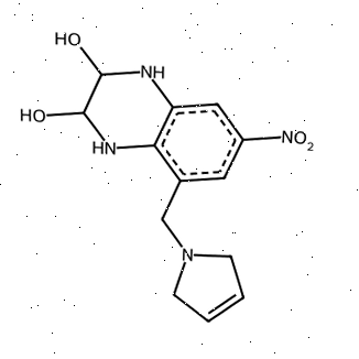 O=[N+]([O-])c1cc(CN2CC=CC2)c2c(c1)NC(O)C(O)N2